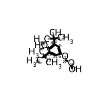 CC(C)(C)c1cc(OCOO)cc(C(C)(C)C)c1O